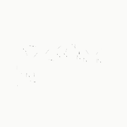 Cc1cc(-c2ccn3nc(Nc4cc(C(=O)NC(C)C)n(C)n4)cc3c2)c(OC2C[C@H]3COC[C@@H](C2)N3)cn1